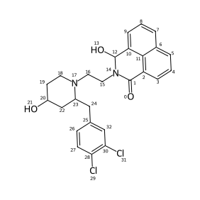 O=C1c2cccc3cccc(c23)C(O)N1CCN1CCC(O)CC1Cc1ccc(Cl)c(Cl)c1